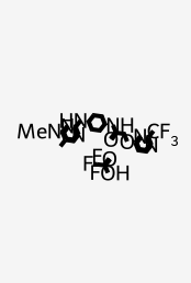 CNc1nc(N[C@H]2CC[C@@H](NC(=O)COc3ccnc(C(F)(F)F)n3)CC2)ncc1C.O=C(O)C(F)(F)F